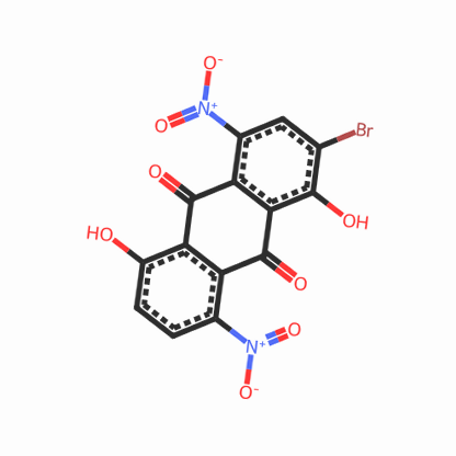 O=C1c2c(O)ccc([N+](=O)[O-])c2C(=O)c2c(O)c(Br)cc([N+](=O)[O-])c21